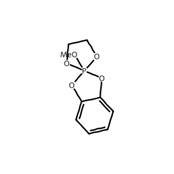 COP12(OCCO1)Oc1ccccc1O2